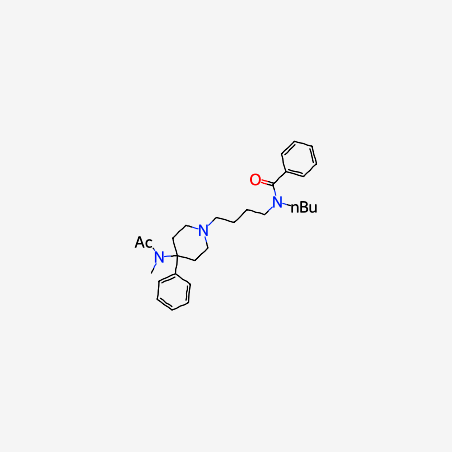 CCCCN(CCCCN1CCC(c2ccccc2)(N(C)C(C)=O)CC1)C(=O)c1ccccc1